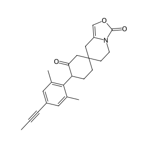 CC#Cc1cc(C)c(C2CCC3(CCn4c(coc4=O)C3)CC2=O)c(C)c1